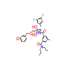 CCCN(CCC)C(=O)c1cc(C)cc(C(=O)N[C@@H](Cc2cc(F)cc(F)c2)[C@@H](O)C(O)COCc2cccc(OC)c2)c1